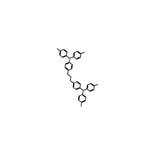 Cc1ccc(N(c2ccc(C)cc2)c2ccc(CCCc3ccc(N(c4ccc(C)cc4)c4ccc(C)cc4)cc3)cc2)cc1